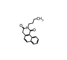 CCCCN1C(=O)Cc2ccc3ccccc3c2C1=O